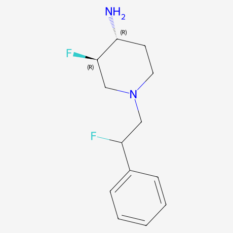 N[C@@H]1CCN(CC(F)c2ccccc2)C[C@H]1F